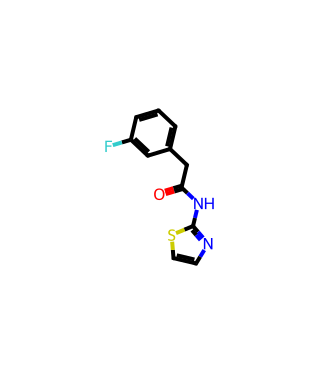 O=C(Cc1cccc(F)c1)Nc1nccs1